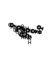 CC(C)c1ccccc1[C@@H]1CCCN1C1CC2(CCN(c3ccc(C(=O)NS(=O)(=O)c4ccc(NCC5CCOCC5)c([N+](=O)[O-])c4)c(N4C[C@@H]5COCC[C@@H]5Oc5nc6[nH]ccc6cc54)c3)CC2)C1